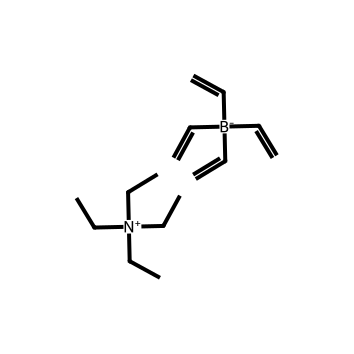 C=C[B-](C=C)(C=C)C=C.CC[N+](CC)(CC)CC